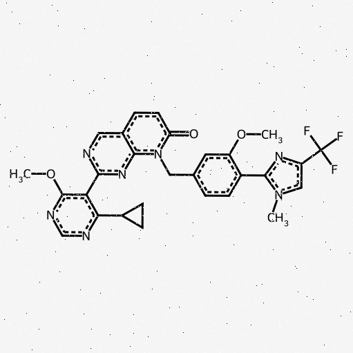 COc1cc(Cn2c(=O)ccc3cnc(-c4c(OC)ncnc4C4CC4)nc32)ccc1-c1nc(C(F)(F)F)cn1C